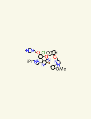 COc1ccccc1-c1nccc(COc2ccccc2CC(Oc2nsc3cnc(-c4ccn(CC(C)C)n4)c(-c4ccc(OCCN5CCN(C)CC5)c(Cl)c4C)c23)C(=O)O)n1